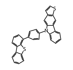 c1ccc2c(c1)sc1c(-c3ccc(-n4c5ccccc5c5cc6sccc6cc54)cc3)cccc12